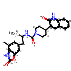 Cc1cc(CC(NC(=O)N2CCC(c3cc4ccccc4[nH]c3=O)CC2)C(=O)O)cc2oc(=O)[nH]c12